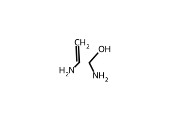 C=CN.NCO